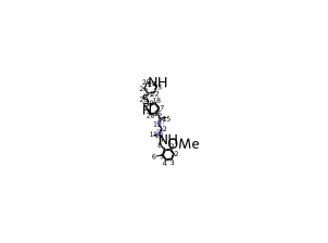 COc1cccc(C)c1CN/C(C)=C/C=C(\C)c1ccc(SC2CCNCC2)nc1